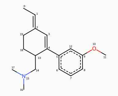 C/C=C1/C=C(c2cccc(OC)c2)C(CN(C)C)CC1